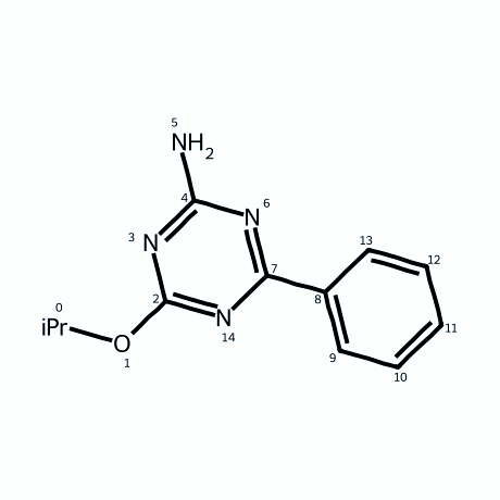 CC(C)Oc1nc(N)nc(-c2ccccc2)n1